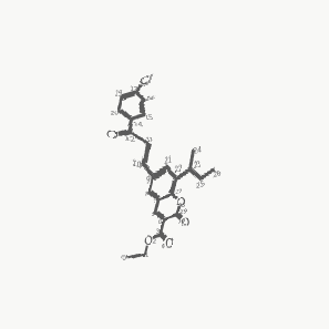 CCOC(=O)c1cc2cc(C=CC(=O)c3ccc(Cl)cc3)cc(C(C)CC)c2oc1=O